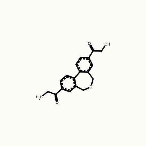 BCC(=O)c1ccc2c(c1)COCc1cc(C(=O)CO)ccc1-2